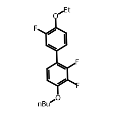 CCCCOc1ccc(-c2ccc(OCC)c(F)c2)c(F)c1F